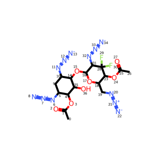 CC(=O)OC1C(N=[N+]=[N-])CC(N=[N+]=[N-])C(OC2OC(CN=[N+]=[N-])C(OC(C)=O)C(F)(F)C2N=[N+]=[N-])C1O